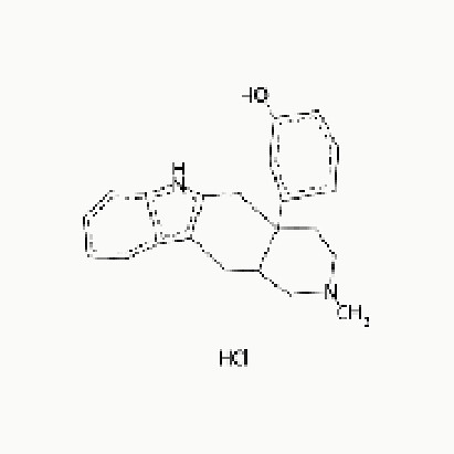 CN1CCC2(c3cccc(O)c3)Cc3[nH]c4ccccc4c3CC2C1.Cl